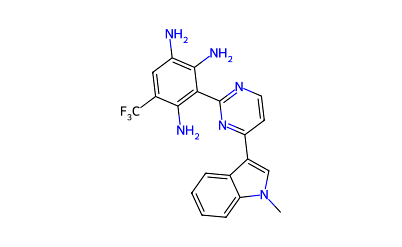 Cn1cc(-c2ccnc(-c3c(N)c(N)cc(C(F)(F)F)c3N)n2)c2ccccc21